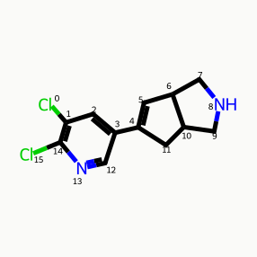 Clc1cc(C2=CC3CNCC3C2)cnc1Cl